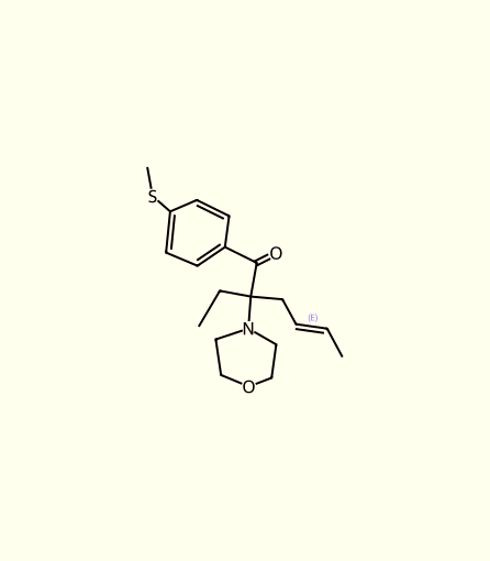 C/C=C/CC(CC)(C(=O)c1ccc(SC)cc1)N1CCOCC1